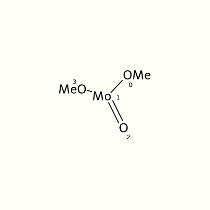 C[O][Mo](=[O])[O]C